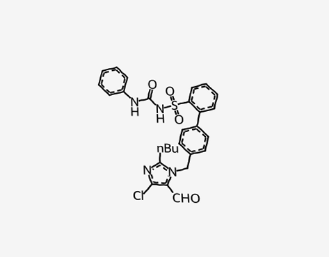 CCCCc1nc(Cl)c(C=O)n1Cc1ccc(-c2ccccc2S(=O)(=O)NC(=O)Nc2ccccc2)cc1